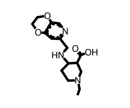 CCN1CCC(NCc2cc3c(cn2)OCCO3)C(C(=O)O)C1